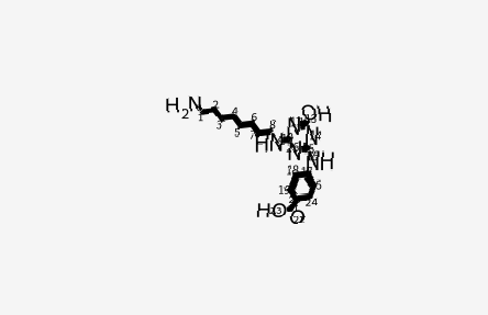 NCCCCCCCCNc1nc(O)nc(Nc2ccc(C(=O)O)cc2)n1